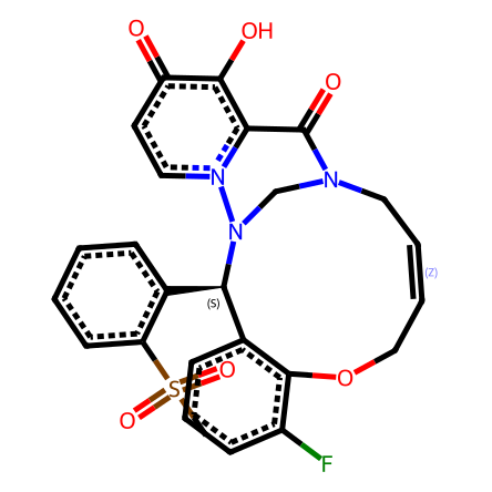 CS(=O)(=O)c1ccccc1[C@@H]1c2cccc(F)c2OC/C=C\CN2CN1n1ccc(=O)c(O)c1C2=O